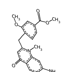 COC(=O)c1ccc(Cc2cc(=O)c3ccc(N)cc3n2C)c(OC)c1